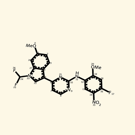 COc1ccc2c(-c3ccnc(Nc4cc([N+](=O)[O-])c(F)cc4OC)n3)cn(C(F)F)c2c1